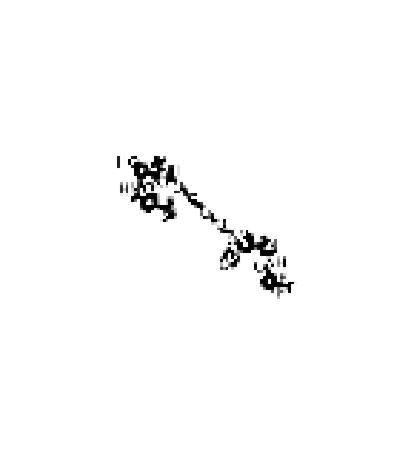 Cc1ncc(NC(=O)c2cccc(C(F)(F)F)c2)cc1-c1cnc(OCCOCCOCCOCCOCC(=O)NC(C(=O)C2C[C@H](O)C[C@H]2C(=O)NC(C)c2ccc(-c3scnc3C)cc2)C(C)(C)C)c(N2CCOCC2)c1